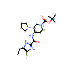 CCc1[nH]c(C(=O)N[C@@H]2CCN(C(=O)OC(C)(C)C)C[C@@H]2N2CCCC2)nc1Cl